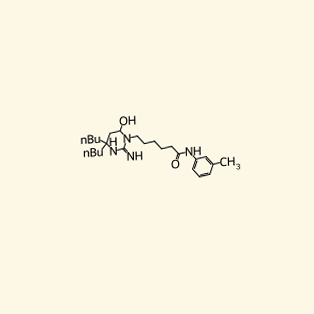 CCCCC1(CCCC)CC(O)N(CCCCCC(=O)Nc2cccc(C)c2)C(=N)N1